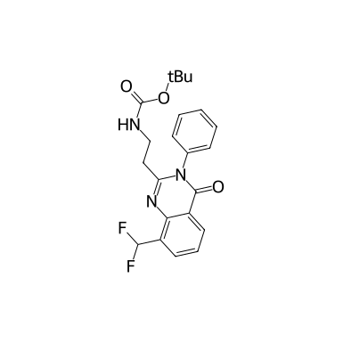 CC(C)(C)OC(=O)NCCc1nc2c(C(F)F)cccc2c(=O)n1-c1ccccc1